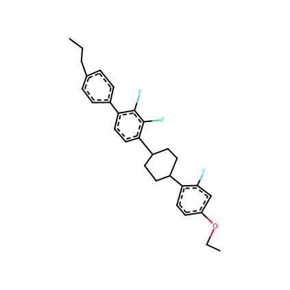 CCCc1ccc(-c2ccc(C3CCC(c4ccc(OCC)cc4F)CC3)c(F)c2F)cc1